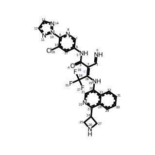 N=C/C(C(=O)Nc1cnc(-n2nccn2)c(Cl)c1)=C(\Nc1cnc(C2CNC2)c2ccccc12)C(F)(F)F